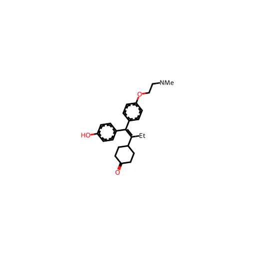 CCC(=C(c1ccc(O)cc1)c1ccc(OCCNC)cc1)C1CCC(=O)CC1